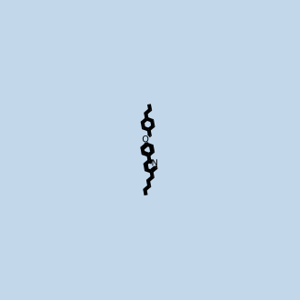 CCCCCc1ccc(-c2ccc(OCC3CCC(CCC)CC3)cc2)nc1